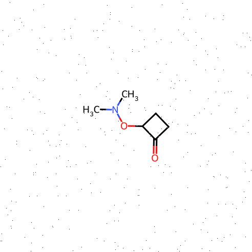 CN(C)OC1CCC1=O